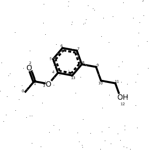 CC(=O)Oc1cccc(CCCO)c1